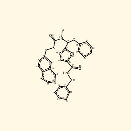 CN(C(=O)CCc1ccc2ccccc2c1)C(Cc1ccccc1)c1nc(C(=O)NCc2ccccc2)no1